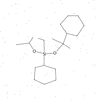 CC[Si](OC(C)C)(OC(C)(C)C1CCCCC1)C1CCCCC1